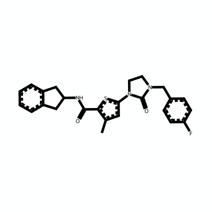 Cc1cc(N2CCN(Cc3ccc(F)cc3)C2=O)sc1C(=O)NC1Cc2ccccc2C1